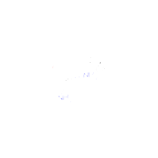 C.NC(N)=O.[Co]